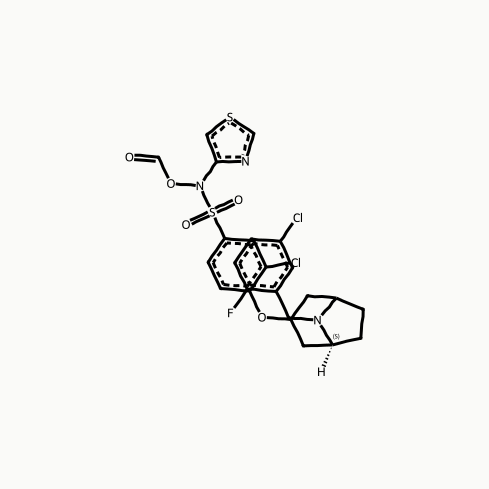 O=CON(c1cscn1)S(=O)(=O)c1ccc(OC2CC3CC[C@@H](C2)N3Cc2cc(Cl)ccc2F)c(Cl)c1